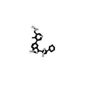 CCNCc1cncc(-c2ccc3[nH]nc(-c4nc(-c5ccccc5)c[nH]4)c3c2)c1C